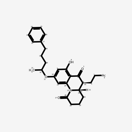 CC(=O)CC[C@@H]1C(=O)c2c(O)cc(OC(C)CCCc3ccccc3)cc2N2C(=O)CCC[C@@H]12